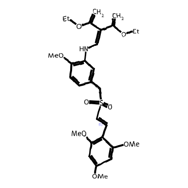 C=C(OCC)C(=CNc1cc(CS(=O)(=O)/C=C/c2c(OC)cc(OC)cc2OC)ccc1OC)C(=C)OCC